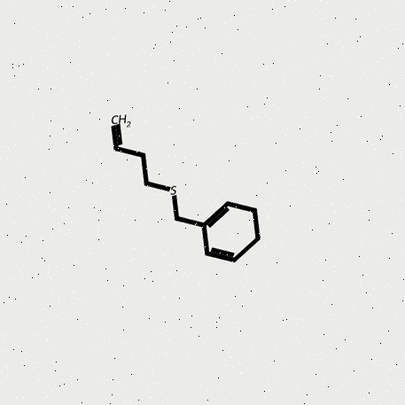 C=CCCSCC1=CCCC=C1